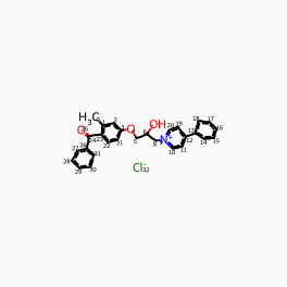 Cc1cc(OCC(O)C[n+]2ccc(-c3ccccc3)cc2)ccc1C(=O)c1ccccc1.[Cl-]